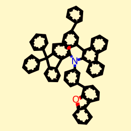 c1ccc(-c2cccc(-c3c(N(c4cccc(-c5cccc6c5oc5ccccc56)c4)c4cccc5c4-c4ccccc4C5(c4ccccc4)c4ccccc4)c4ccccc4c4ccccc34)c2)cc1